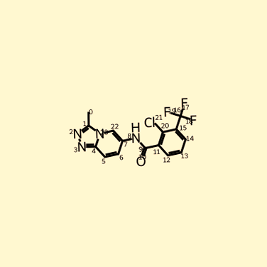 Cc1nnc2ccc(NC(=O)c3cccc(C(F)(F)F)c3Cl)cn12